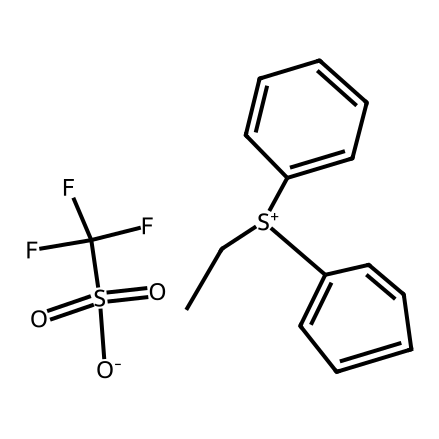 CC[S+](c1ccccc1)c1ccccc1.O=S(=O)([O-])C(F)(F)F